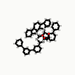 c1ccc(-c2cccc(-c3cccc(-c4nc(-c5cccc(-c6ccccc6)c5)nc(-n5c6ccccc6c6ccc7c8ccccc8n(-c8ccccc8)c7c65)n4)c3)c2)cc1